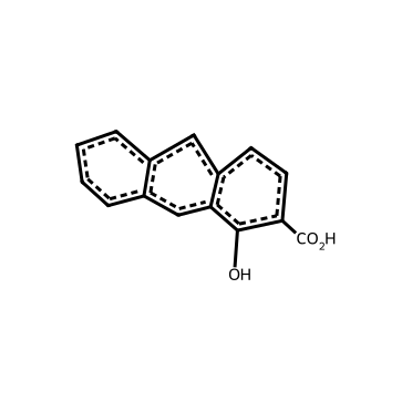 O=C(O)c1ccc2cc3ccccc3cc2c1O